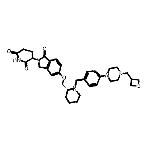 O=C1CCC(N2Cc3cc(OC[C@H]4CCCCN4Cc4ccc(N5CCN(CC6COC6)CC5)cc4)ccc3C2=O)C(=O)N1